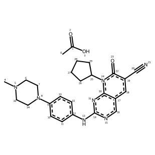 CC(=O)O.CN1CCN(c2ccc(Nc3ncc4cc(C#N)c(=O)n(C5CCCC5)c4n3)cc2)CC1